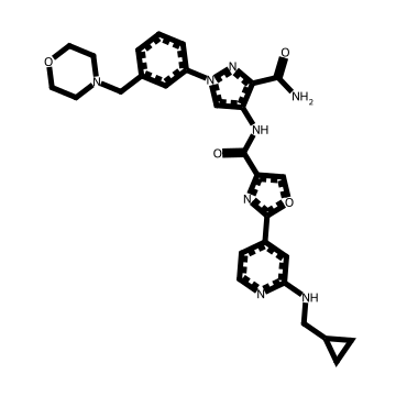 NC(=O)c1nn(-c2cccc(CN3CCOCC3)c2)cc1NC(=O)c1coc(-c2ccnc(NCC3CC3)c2)n1